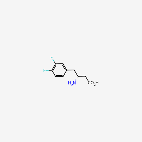 N[C@@H](CC(=O)O)Cc1ccc(F)c(F)c1